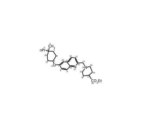 CCCC1(C)CCC(Oc2ccc3nc(CN4CCC(C(=O)OCC)CC4)ccc3c2)CC1